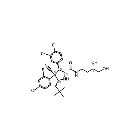 CC(C)(C)C[C@@H]1N[C@@H](C(=O)NCC[C@H](O)CO)[C@H](c2ccc(Cl)c(Cl)c2)[C@@]1(C#N)c1ccc(Cl)cc1F